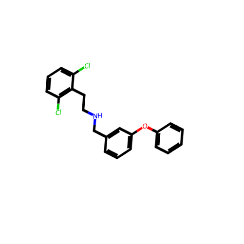 Clc1cccc(Cl)c1CCNCc1cccc(Oc2ccccc2)c1